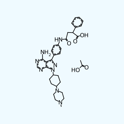 CC(=O)O.CN1CCN(C2CCC(n3nc(-c4ccc(NC(=O)CC(C(=O)O)c5ccccc5)cc4)c4c(N)ncnc43)CC2)CC1